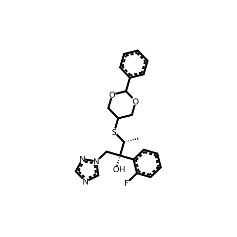 C[C@@H](SC1COC(c2ccccc2)OC1)[C@](O)(Cn1cncn1)c1ccccc1F